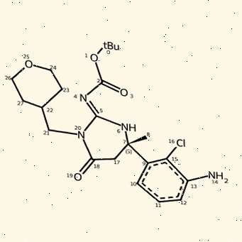 CC(C)(C)OC(=O)N=C1N[C@](C)(c2cccc(N)c2Cl)CC(=O)N1CC1CCOCC1